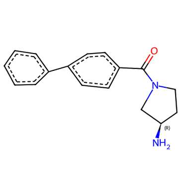 N[C@@H]1CCN(C(=O)c2ccc(-c3ccccc3)cc2)C1